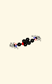 CC1(C)N=C(c2ccc(-c3ccc4c(c3)C3(c5ccccc5-c5ccccc53)c3c-4ccc4cc(-c5ccc(C6=NC(C)(C)C(C)(C)O6)cc5)ccc34)cc2)OC1(C)C